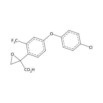 O=C(O)C1(c2ccc(Oc3ccc(Cl)cc3)cc2C(F)(F)F)CO1